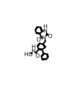 O=C(NO)c1ccc(Cn2c(=O)[nH]c3ccccc3c2=O)cc1-c1ccccc1